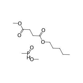 CCCCCOC(=O)CCC(=O)OC.CO[PH](C)=O